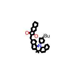 CCC(C)c1ccc(N2c3c(ccc4ccccc34)C(C)(C)c3ccc4cc(C=C5C(=O)c6cc7ccccc7cc6C5=O)ccc4c32)cc1